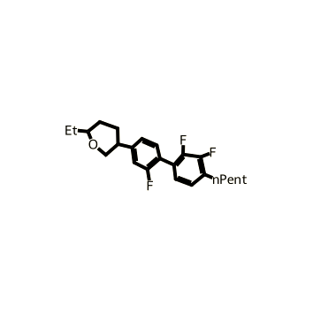 CCCCCc1ccc(-c2ccc(C3CCC(CC)OC3)cc2F)c(F)c1F